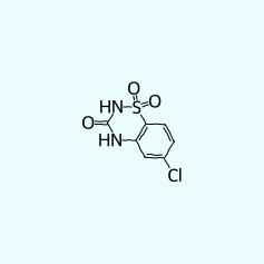 O=C1Nc2cc(Cl)ccc2S(=O)(=O)N1